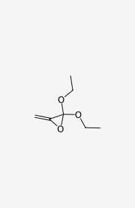 C=C1OC1(OCC)OCC